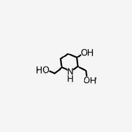 OCC1CCC(O)C(CO)N1